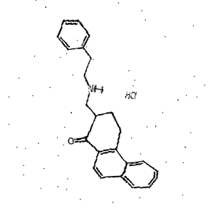 Cl.O=C1c2ccc3ccccc3c2CCC1CNCCc1ccccc1